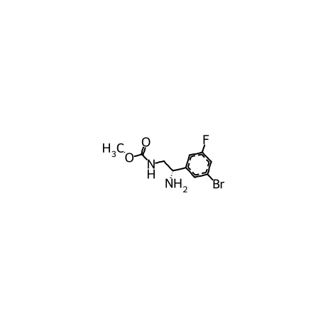 COC(=O)NC[C@@H](N)c1cc(F)cc(Br)c1